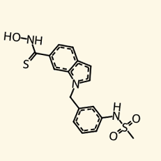 CS(=O)(=O)Nc1cccc(Cn2ccc3ccc(C(=S)NO)cc32)c1